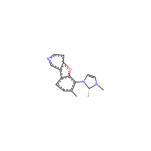 Cc1ccc2c(oc3ccncc32)c1N1C=CN(C)[C@@H]1C